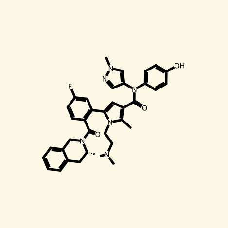 Cc1c(C(=O)N(c2ccc(O)cc2)c2cnn(C)c2)cc(-c2cc(F)ccc2C(=O)N2Cc3ccccc3C[C@H]2C)n1CCN(C)C